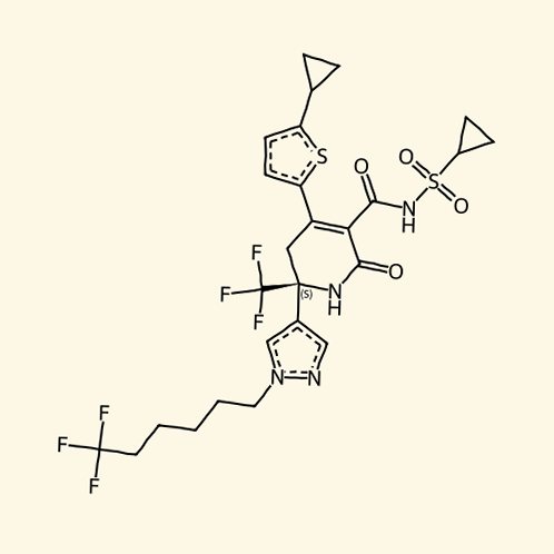 O=C1N[C@@](c2cnn(CCCCCC(F)(F)F)c2)(C(F)(F)F)CC(c2ccc(C3CC3)s2)=C1C(=O)NS(=O)(=O)C1CC1